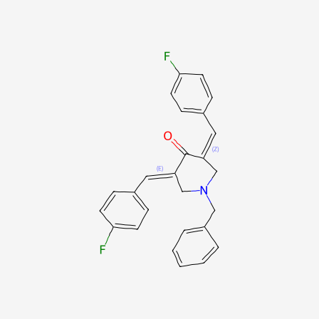 O=C1/C(=C\c2ccc(F)cc2)CN(Cc2ccccc2)C/C1=C\c1ccc(F)cc1